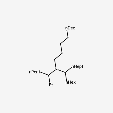 CCCCCCCCCCCCCCN(C(CC)CCCCC)C(CCCCCC)CCCCCCC